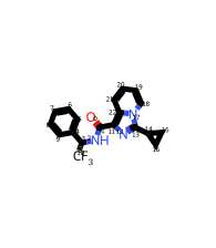 O=C(NC(c1ccccc1)C(F)(F)F)c1nc(C2CC2)n2ccccc12